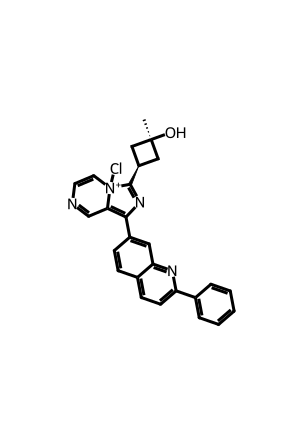 C[C@]1(O)C[C@@H](C2=NC(c3ccc4ccc(-c5ccccc5)nc4c3)=C3C=NC=C[N+]32Cl)C1